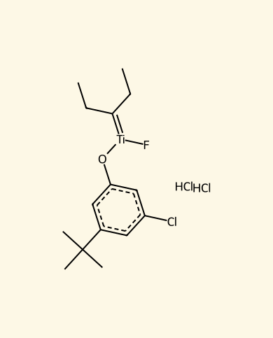 CC[C](CC)=[Ti]([F])[O]c1cc(Cl)cc(C(C)(C)C)c1.Cl.Cl